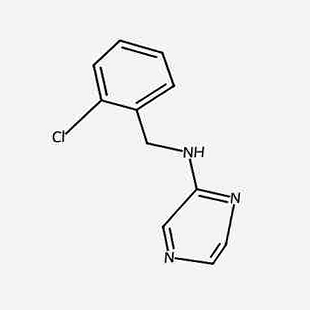 Clc1ccccc1CNc1cnccn1